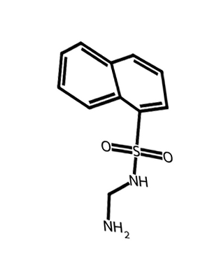 NCNS(=O)(=O)c1cccc2ccccc12